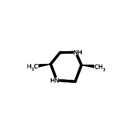 C[C@H]1CN[C@@H](C)CN1